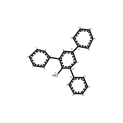 Oc1c(-c2ccccc2)cc(-c2ccccc2)cc1-c1ccccc1